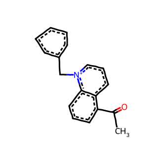 CC(=O)c1cccc2c1ccc[n+]2Cc1ccccc1